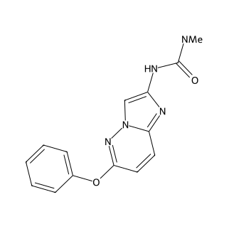 CNC(=O)Nc1cn2nc(Oc3ccccc3)ccc2n1